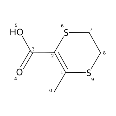 CC1=C(C(=O)O)SCCS1